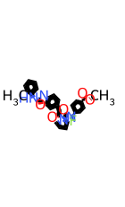 COC(=O)[C@H]1CC[C@@H](N(F)C(=O)[N+]2(C(=O)Cc3ccc4nc(Nc5ccccc5C)oc4c3)CCCC2)CC1